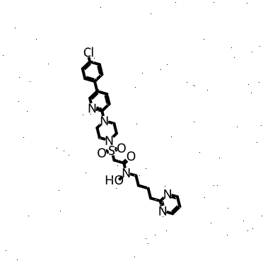 O=C(CS(=O)(=O)N1CCN(c2ccc(-c3ccc(Cl)cc3)cn2)CC1)N(O)CCCCc1ncccn1